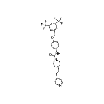 O=C(Nc1ccc(OCc2cc(C(F)(F)F)cc(C(F)(F)F)c2)cc1)N1CCN(CCc2ccncc2)CC1